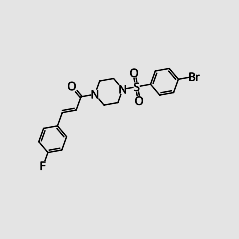 O=C(/C=C/c1ccc(F)cc1)N1CCN(S(=O)(=O)c2ccc(Br)cc2)CC1